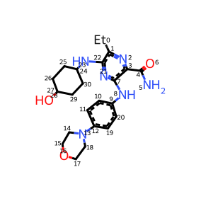 CCc1nc(C(N)=O)c(Nc2ccc(N3CCOCC3)cc2)nc1NC1CCC(O)CC1